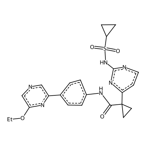 CCOc1cncc(-c2ccc(NC(=O)C3(c4ccnc(NS(=O)(=O)C5CC5)n4)CC3)cc2)n1